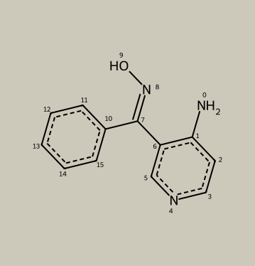 Nc1ccncc1/C(=N/O)c1ccccc1